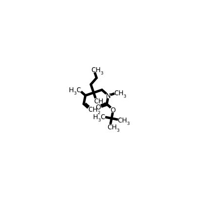 C=CC(C)C(C)(CCC)CN(C)C(=O)OC(C)(C)C